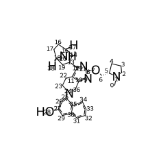 CN1CCC[C@H]1COc1nc2c(c([C@@H]3C[C@H]4CC[C@@H](C3)N4)n1)CCN(c1cc(O)cc3ccccc13)C2